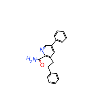 NC(=O)c1ncc(-c2ccccc2)cc1CCc1ccccc1